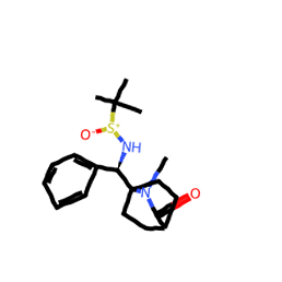 CN1C(=O)C2CCC1([C@H](N[S+]([O-])C(C)(C)C)c1ccccc1)CC2